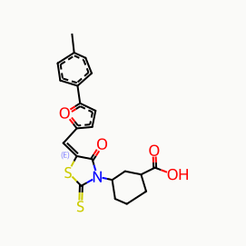 Cc1ccc(-c2ccc(/C=C3/SC(=S)N(C4CCCC(C(=O)O)C4)C3=O)o2)cc1